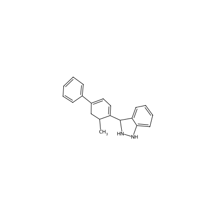 CC1CC(c2ccccc2)=CC=C1C1NNc2ccccc21